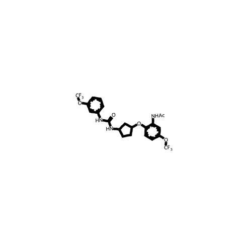 CC(=O)Nc1cc(OC(F)(F)F)ccc1OC1CCC(NC(=O)Nc2cccc(OC(F)(F)F)c2)C1